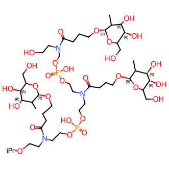 CC(C)OCCN(CCOP(=O)(O)OCCN(CCOP(=O)(O)OCN(CCO)C(=O)CCCO[C@@H]1OC(CO)[C@H](O)[C@H](O)C1C)C(=O)CCCO[C@@H]1OC(CO)[C@H](O)[C@H](O)C1C)C(=O)CCCO[C@@H]1OC(CO)[C@H](O)[C@H](O)C1C